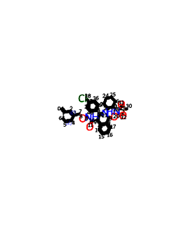 C=C/C=C(\C=C/C)CONC(=O)[C@@H]1c2ccccc2C(=O)N(C2CCCC[C@@H]2NS(C)(=O)=O)[C@H]1c1ccc(Cl)cc1